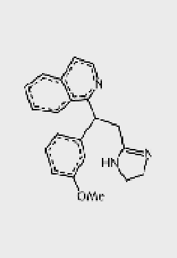 COc1cccc(C(CC2=NCCN2)c2nccc3ccccc23)c1